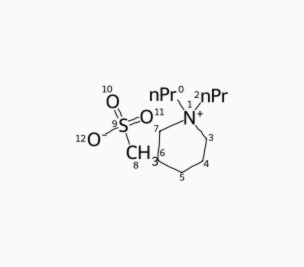 CCC[N+]1(CCC)CCCCC1.CS(=O)(=O)[O-]